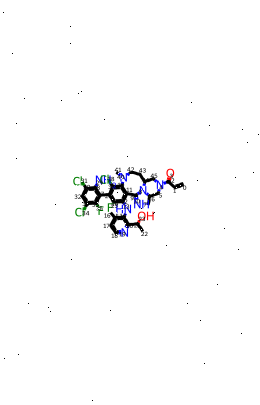 C=CC(=O)N1CC(C)N2C(=N)c3c(Nc4c(C)ccnc4C(C)O)c(F)c(-c4c(N)c(Cl)cc(Cl)c4F)c(Cl)c3N(C)CCC2C1